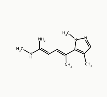 CN/C(N)=C/C=C(\N)c1c(C)cnn1C